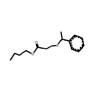 CCCCOC(=O)CCSC(C)c1ccccc1